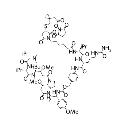 CC[C@H](C)[C@@H]([C@@H](CC(=O)N1CCC[C@H]1[C@H](OC)[C@@H](C)C(=O)N[C@H](C)[C@@H](NC(=O)OCc1ccc(NC(=O)[C@H](CCCNC(N)=O)NC(=O)[C@@H](NC(=O)CCCCCN2C(=O)CC(SCC3(CC(=O)ON4C(=O)CCC4=O)CC3)C2=O)C(C)C)cc1)c1ccc(OC)cc1)OC)N(C)C(=O)[C@@H](NC(=O)[C@H](C(C)C)N(C)C)C(C)C